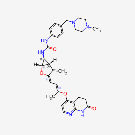 C=C1/C(=C\C=C(/C)Oc2ccnc3c2CCC(=O)N3)O[C@@H]2[C@@H](NC(=O)Nc3ccc(CN4CCN(C)CC4)cc3)[C@H]12